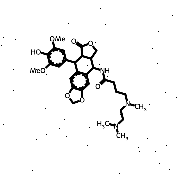 COc1cc(C2c3cc4c(cc3C(NC(=O)CCCN(C)CCN(C)C)C3COC(=O)C23)OCO4)cc(OC)c1O